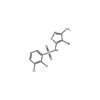 Cc1noc(NS(=O)(=O)c2cccc(Cl)c2Cl)c1Br